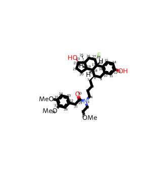 COCCN(CCCC[C@@H]1Cc2cc(O)ccc2[C@@H]2[C@@H]1[C@@H]1CC[C@H](O)[C@@]1(C)C[C@@H]2F)C(=O)Cc1ccc(OC)c(OC)c1